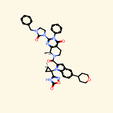 C[C@H]1c2nc(N3CCN(Cc4ccccc4)C3=O)n(-c3ccccc3)c(=O)c2CCN1C(=O)c1cc2cc(C3CCOCC3)ccc2n1C1(c2noc(=O)[nH]2)C[C@@H]1C